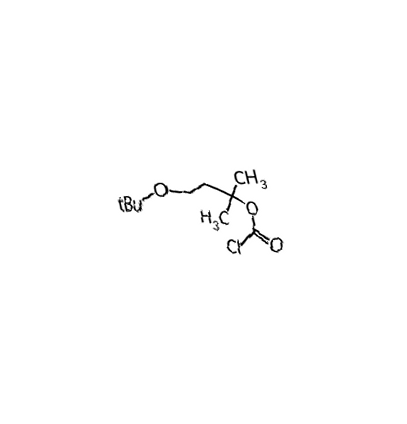 CC(C)(C)OCCC(C)(C)OC(=O)Cl